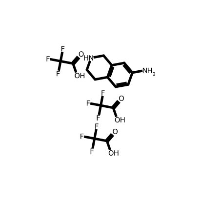 Nc1ccc2c(c1)CNCC2.O=C(O)C(F)(F)F.O=C(O)C(F)(F)F.O=C(O)C(F)(F)F